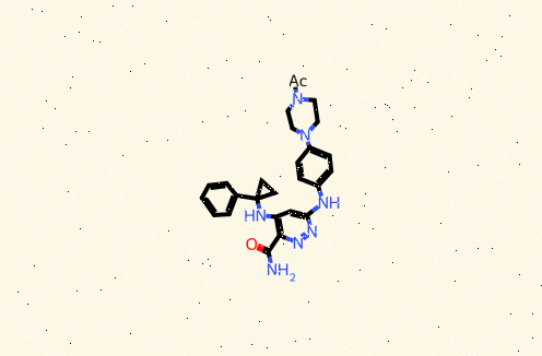 CC(=O)N1CCN(c2ccc(Nc3cc(NC4(c5ccccc5)CC4)c(C(N)=O)nn3)cc2)CC1